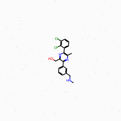 CNCc1cccc(-c2nc(C)c(-c3cccc(Cl)c3Cl)nc2CO)c1